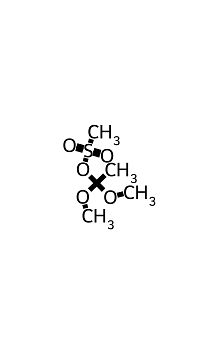 COC(C)(OC)OS(C)(=O)=O